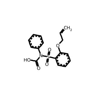 C=CCOc1ccccc1S(=O)(=O)N(C(=O)O)c1ccccc1